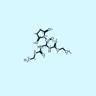 CCOC(=O)N[CH](NC(=O)OCC)[Co](=[O])[N]1C(=O)CCC1=O